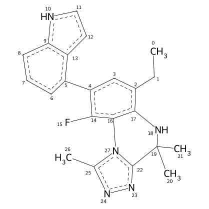 CCc1cc(-c2cccc3[nH]ccc23)c(F)c2c1NC(C)(C)c1nnc(C)n1-2